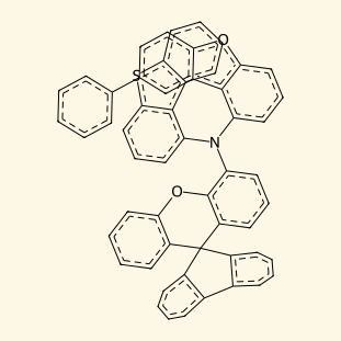 c1ccc(-c2ccc3oc4cccc(N(c5cccc6c5Oc5ccccc5C65c6ccccc6-c6ccccc65)c5cccc6sc7ccccc7c56)c4c3c2)cc1